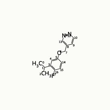 CC(C)c1cc(OCc2ccnnc2)ccc1F